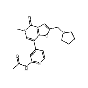 CC(=O)Nc1cc(-c2cn(C)c(=O)c3cc(CN4CCCC4)oc23)ccn1